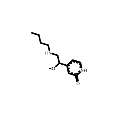 CCCCNCC(O)c1cc[nH]c(=O)c1